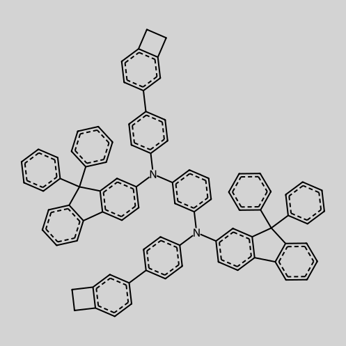 c1ccc(C2(c3ccccc3)c3ccccc3-c3ccc(N(c4ccc(-c5ccc6c(c5)CC6)cc4)c4cccc(N(c5ccc(-c6ccc7c(c6)CC7)cc5)c5ccc6c(c5)C(c5ccccc5)(c5ccccc5)c5ccccc5-6)c4)cc32)cc1